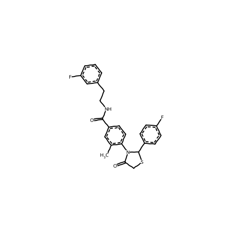 Cc1cc(C(=O)NCCc2cccc(F)c2)ccc1N1C(=O)CSC1c1ccc(F)cc1